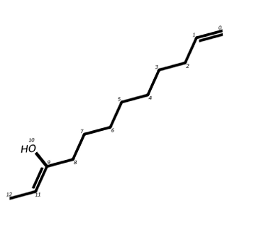 C=CCCCCCCC/C(O)=C/C